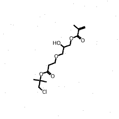 C=C(C)C(=O)OCC(O)COCCC(=O)OC(C)(C)CCl